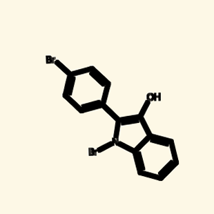 Oc1c(-c2ccc(Br)cc2)n(Br)c2ccccc12